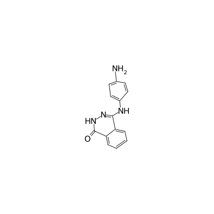 Nc1ccc(Nc2n[nH]c(=O)c3ccccc23)cc1